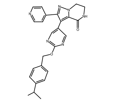 CC(C)c1ccc(COc2ncc(-c3c(-c4ccncc4)nn4c3C(=O)NCC4)cn2)cc1